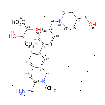 CN(Cc1cccc(-c2ccc(CN3CCC(CO)CC3)cc2)c1)C(=O)CN.O=C(O)C(O)C(O)C(=O)O